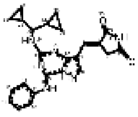 O=C1C/C(=C\c2cnn3c(Nc4ccccc4)nc(NC(C4CC4)C4CC4)nc23)C(=O)N1